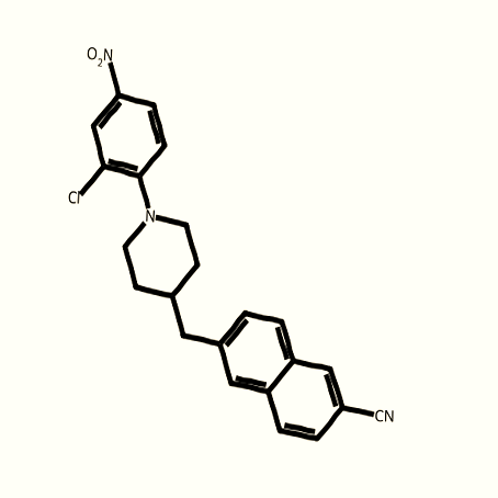 N#Cc1ccc2cc(CC3CCN(c4ccc([N+](=O)[O-])cc4Cl)CC3)ccc2c1